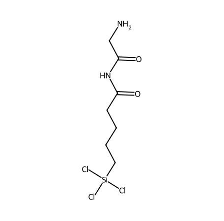 NCC(=O)NC(=O)CCCC[Si](Cl)(Cl)Cl